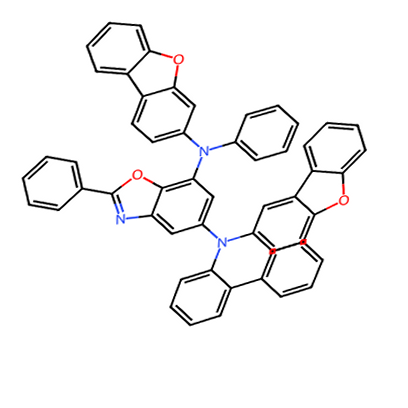 c1ccc(-c2nc3cc(N(c4ccc5oc6ccccc6c5c4)c4ccccc4-c4ccccc4)cc(N(c4ccccc4)c4ccc5c(c4)oc4ccccc45)c3o2)cc1